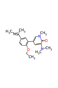 CCOc1ccc([Si@H](C)CC)cc1-c1cc(N(C)C)c(=O)n(C)c1